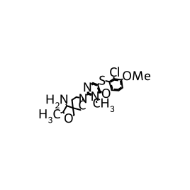 COc1cccc(Sc2cnc(N3CCC4(CC3)CO[C@@H](C)[C@H]4N)n(C)c2=O)c1Cl